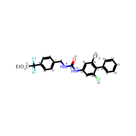 CCOC(=O)C(F)(F)c1ccc(CNC(=O)Nc2cc(Cl)c(-c3ccccc3)c(C(F)(F)F)c2)cc1